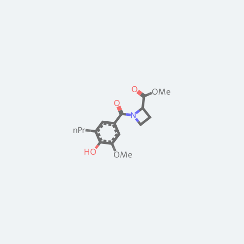 CCCc1cc(C(=O)N2CCC2C(=O)OC)cc(OC)c1O